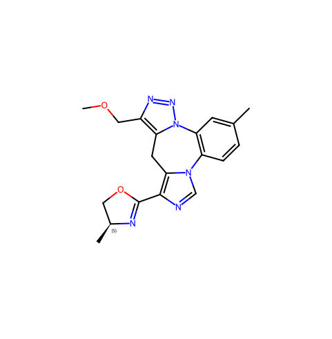 COCc1nnn2c1Cc1c(C3=N[C@@H](C)CO3)ncn1-c1ccc(C)cc1-2